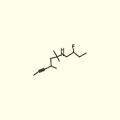 CC#CC(C)CC(C)(C)NCC(F)CC